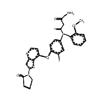 COc1ccccc1N(C(=O)CC(N)=O)c1ccc(Oc2ccnc3cc(N4CCCC4=O)sc23)c(F)c1